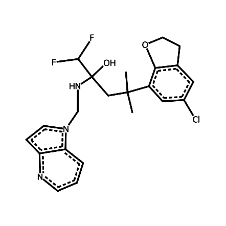 CC(C)(CC(O)(NCn1ccc2ncccc21)C(F)F)c1cc(Cl)cc2c1OCC2